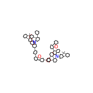 CC1(C)c2ccccc2-c2ccc(N(c3ccc(-c4ccc(-c5cccc6c5oc5cc(-c7cccc(-c8ccccc8-c8c(-c9ccccc9)cccc8N(c8ccc9c(c8)C(C)(C)c8ccccc8-9)c8ccc(-c9cccc%10c9oc9ccccc9%10)c9ccccc89)c7)ccc56)cc4)cc3)c3cccc(-c4ccccc4)c3-c3ccccc3-c3ccccc3)cc21